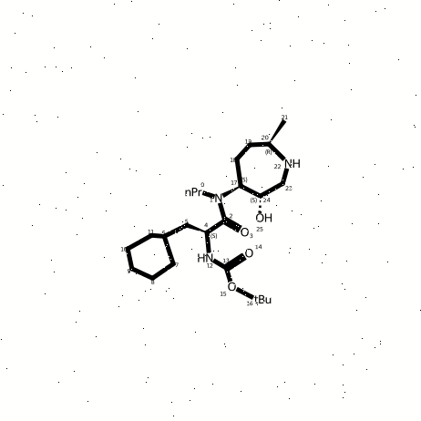 CCCN(C(=O)[C@H](CC1CCCCC1)NC(=O)OC(C)(C)C)[C@H]1CC[C@@H](C)NC[C@@H]1O